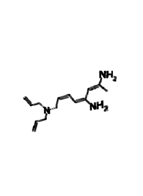 C=CCN(CC=C)C\C=C/C=C(N)\C=C(/C)N